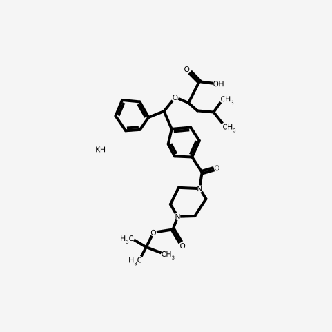 CC(C)CC(OC(c1ccccc1)c1ccc(C(=O)N2CCN(C(=O)OC(C)(C)C)CC2)cc1)C(=O)O.[KH]